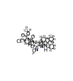 CO/N=C(\C(=O)N[C@@H]1C(=O)N2C(C(=O)OC(C)(C)C)=C(CCl)SC[C@H]12)c1csc(NC(c2ccccc2)(c2ccccc2)c2ccccc2)n1